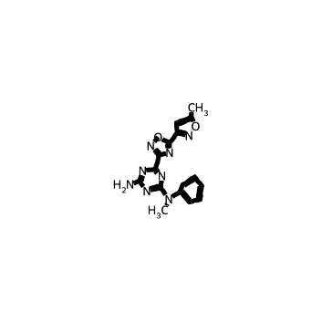 Cc1cc(-c2nc(-c3nc(N)nc(N(C)c4ccccc4)n3)no2)no1